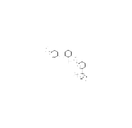 CC(C)n1cnnc1-c1cccc(NC(=O)c2cccc(Oc3ccc(N(C)C)nc3)c2)n1